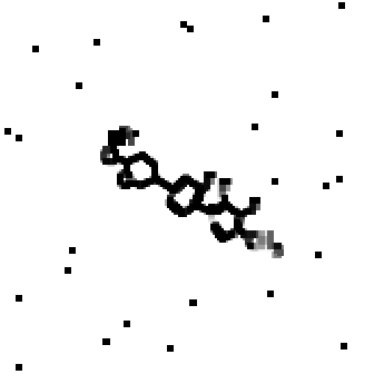 CCCOC1CCC(c2ccc(-c3ccc(C)c(F)c3F)c(F)c2)CO1